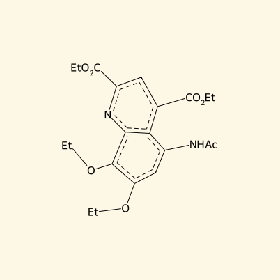 CCOC(=O)c1cc(C(=O)OCC)c2c(NC(C)=O)cc(OCC)c(OCC)c2n1